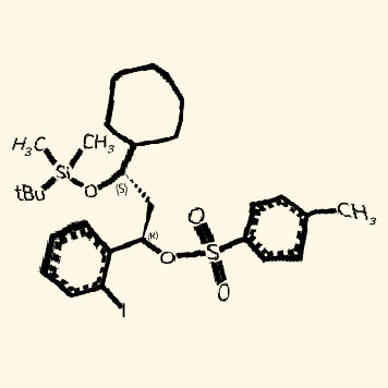 Cc1ccc(S(=O)(=O)O[C@H](C[C@H](O[Si](C)(C)C(C)(C)C)C2CCCCC2)c2ccccc2I)cc1